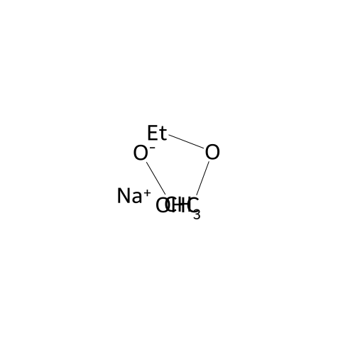 CCOC=O.C[O-].[Na+]